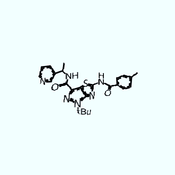 Cc1ccc(C(=O)Nc2nc3c(s2)c(C(=O)NC(C)c2cccnc2)nn3C(C)(C)C)cc1